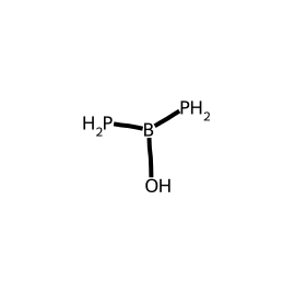 OB(P)P